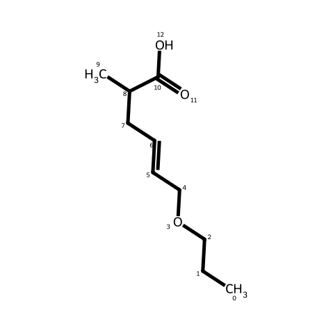 CCCOCC=CCC(C)C(=O)O